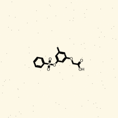 Cc1cc(OCC(=O)O)cc(OS(=O)(=O)c2ccccc2)c1